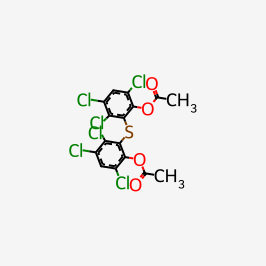 CC(=O)Oc1c(Cl)cc(Cl)c(Cl)c1Sc1c(Cl)c(Cl)cc(Cl)c1OC(C)=O